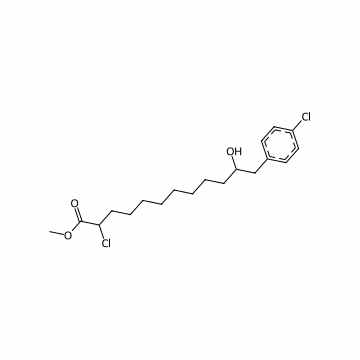 COC(=O)C(Cl)CCCCCCCCC(O)Cc1ccc(Cl)cc1